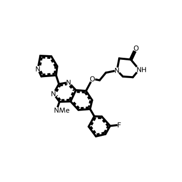 CNc1nc(-c2cccnc2)nc2c(OCCN3CCNC(=O)C3)cc(-c3cccc(F)c3)cc12